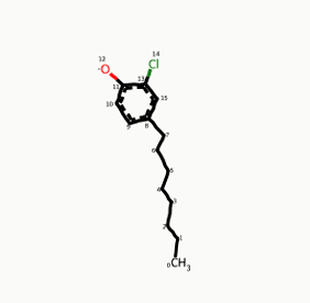 CCCCCCCCc1ccc([O])c(Cl)c1